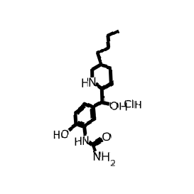 CCCCC1CCC(C(O)c2ccc(O)c(NC(N)=O)c2)NC1.Cl